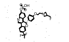 CC(F)(F)c1ccc2c(c1)O[C@@H](c1ccc(OCCN3CC(CF)C3)cc1)c1c-2cnc2cc(OS(=O)(=O)O)ccc12